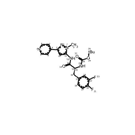 Cn1nc(-c2ccncc2)cc1NC(=O)[C@H](Cc1ccc(F)c(F)c1)NC(=O)OC(C)(C)C